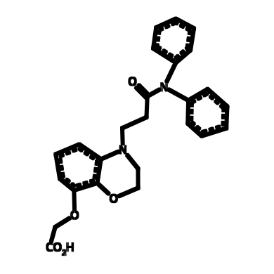 O=C(O)COc1cccc2c1OCCN2CCC(=O)N(c1ccccc1)c1ccccc1